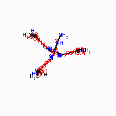 CC(=O)N[C@H]1[C@H]2OC[C@](COCCOCCOCCOCCn3cc(COCC(COCc4cn(CCOCCOCCOCCOC[C@@]56CO[C@@H](O5)[C@H](NC(C)=O)[C@@H](O)[C@H]6O)nn4)(COCc4cn(CCOCCOCCOCCOC[C@@]56CO[C@@H](O5)[C@H](NC(C)=O)[C@@H](OC(C)=O)[C@H]6O)nn4)NC(=O)CCCCCNC(=O)CCCCCN)nn3)(O2)[C@H](O)[C@@H]1O